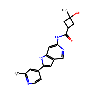 Cc1cc(-c2cc3cnc(NC(=O)C4CC(C)(O)C4)cc3[nH]2)ccn1